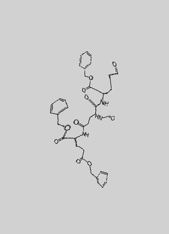 O=CCCC(NC(=O)C(CCC(=O)NC(CCC(=O)OCc1ccccc1)C(=O)OCc1ccccc1)NC=O)C(=O)OCc1ccccc1